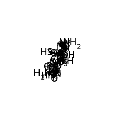 CO[C@H]1[C@@H](OP=O)[C@H](n2cnc3c(=O)[nH]c(N)nc32)O[C@@H]1COP(=O)(S)O[C@@H]1[C@@H](COCS)C[C@@H](n2cnc3c(N)ncnc32)[C@@H]1O